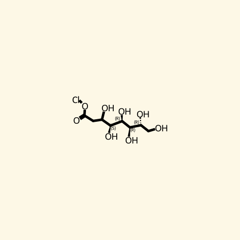 O=C(CC(O)[C@H](O)[C@@H](O)[C@H](O)[C@H](O)CO)OCl